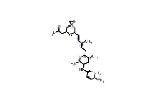 CC(/C=C/C1C[C@]2(CO2)CC(CC(N)=O)O1)=C\C[C@@H]1O[C@H](C)[C@H](NC(=O)/C=C\C(C)N)C[C@@H]1C